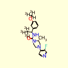 [2H]C([2H])([2H])Oc1cccc(C(NC(=O)N2CCN(c3ccncc3F)C[C@H]2C)C([2H])([2H])[2H])c1